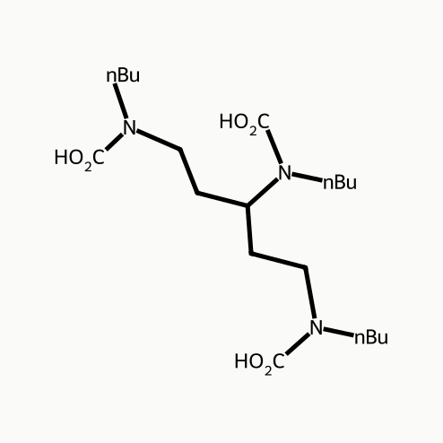 CCCCN(CCC(CCN(CCCC)C(=O)O)N(CCCC)C(=O)O)C(=O)O